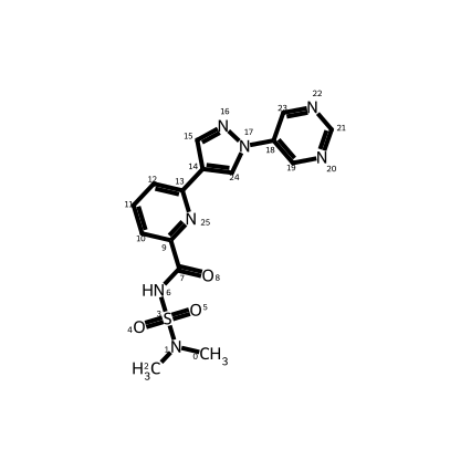 CN(C)S(=O)(=O)NC(=O)c1cccc(-c2cnn(-c3cncnc3)c2)n1